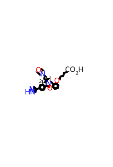 [2H]C([2H])(CCN1CCOCC1)N(Cc1ccccc1OCCCCCC(=O)O)C(=O)c1ccc(-c2cn[nH]c2)cc1